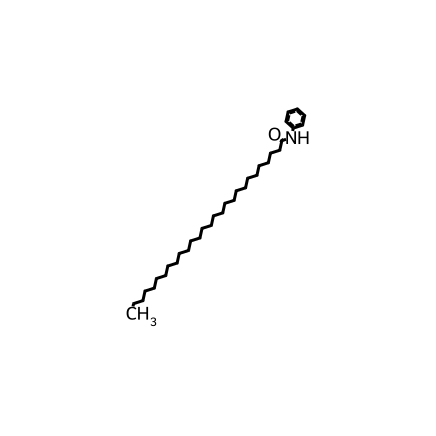 CCCCCCCCCCCCCCCCCCCCCCCCCCCC(=O)Nc1ccccc1